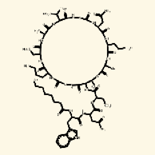 CCC(C)CCCCCCC(=O)NC(Cc1c[nH]c2ccccc12)C(=O)NC(CC(N)=O)C(=O)NC(CC(=O)O)C(=O)NC1C(=O)NCC(=O)NC(CCCN)C(=O)NC(CC(=O)O)C(=O)NC(C)C(=O)NC(C(OC)C(=O)O)C(=O)NCC(=O)NC(CC(N)=O)C(=O)NC(CCC(=O)O)C(=O)NC(C(C)CC)C(=O)OC1C